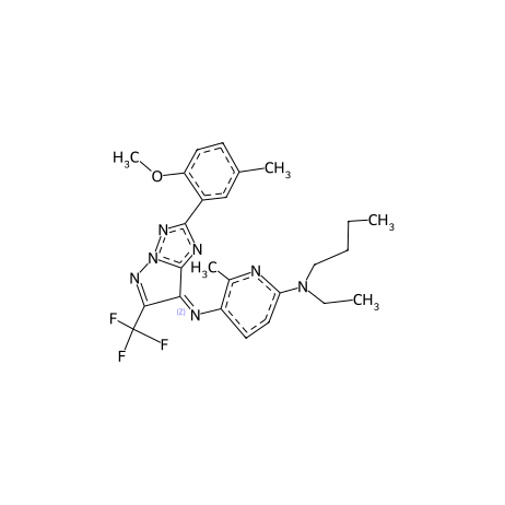 CCCCN(CC)c1ccc(/N=C2/C(C(F)(F)F)=Nn3nc(-c4cc(C)ccc4OC)nc32)c(C)n1